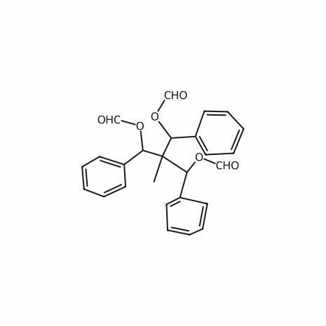 CC(C(OC=O)c1ccccc1)(C(OC=O)c1ccccc1)C(OC=O)c1ccccc1